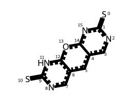 S=c1ncc2cc3cnc(=S)[nH]c3oc-2n1